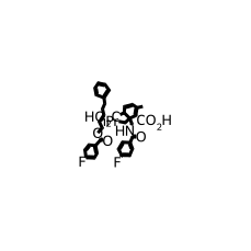 CC1=C(C(=O)O)C(CNC(=O)c2ccc(F)cc2)(CC(C)C)C(C(=O)O)C=C1.O=C(OCCCCCc1ccccc1)c1ccc(F)cc1